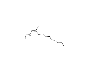 [CH2]COC=C(C)CCCCCCCCC